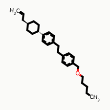 C=CC[C@H]1CC[C@H](c2ccc(CCc3ccc(COCCCCC)cc3)cc2)CC1